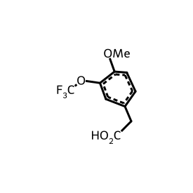 COc1ccc(CC(=O)O)cc1OC(F)(F)F